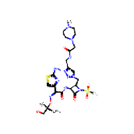 CN1CCN(CC(=O)NCc2cn(CC3C(NC(=O)/C(=N\OC(C)(C)CO)c4csc(N)n4)C(=O)N3S(C)(=O)=O)nn2)CC1